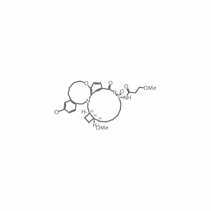 COCCC(=O)NS1(=O)=NC(=O)c2ccc3c(c2)N(Cc2ccc(Cl)cc2CCCCO3)C[C@@H]2CC[C@H]2[C@@H](OC)CCCCC1